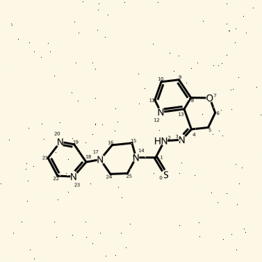 S=C(N/N=C1/CCOc2cccnc21)N1CCN(c2cnccn2)CC1